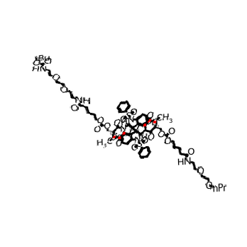 CCCOCCOCCNC(=O)CCCCOC(=O)OC[C@]12SS[C@@]3(C[C@]4([C@]56C[C@@]78SS[C@@](COC(=O)OCCCCC(=O)NCCOCCOCCNC(=O)OC(C)(C)C)(C(=O)N7[C@H]5N(S(=O)(=O)c5ccccc5)c5ccccc56)N(C)C8=O)c5ccccc5N(S(=O)(=O)c5ccccc5)[C@@H]4C3C1=O)C(=O)N2C